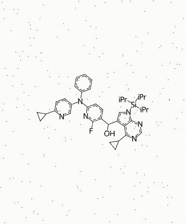 CC(C)[Si](C(C)C)(C(C)C)n1cc(C(O)c2ccc(N(c3ccccc3)c3ccc(C4CC4)nc3)nc2F)c2c(C3CC3)ncnc21